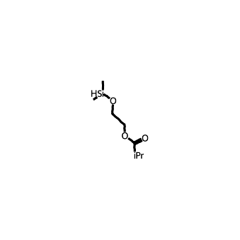 CC(C)C(=O)OCCO[SiH](C)C